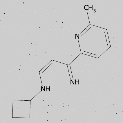 Cc1cccc(C(=N)/C=C\NC2CCC2)n1